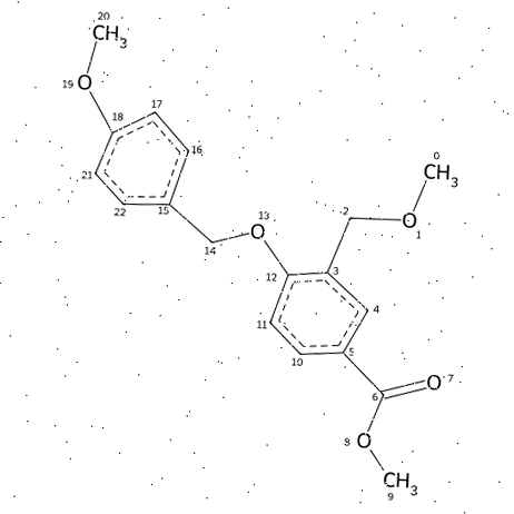 COCc1cc(C(=O)OC)ccc1OCc1ccc(OC)cc1